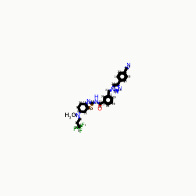 CN(CCC(F)(F)F)C1CCc2nc(NC(=O)c3cccc(Cn4cc(-c5ccc(C#N)cc5)nn4)c3)sc2C1